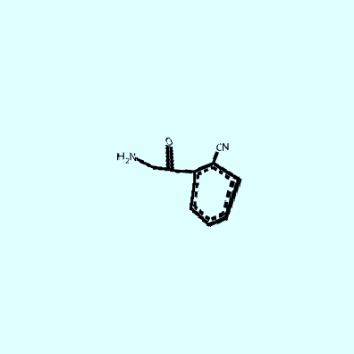 N#Cc1ccccc1C(=O)CN